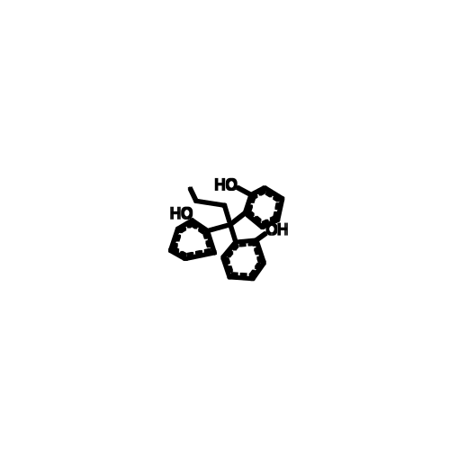 CCCC(c1ccccc1O)(c1ccccc1O)c1ccccc1O